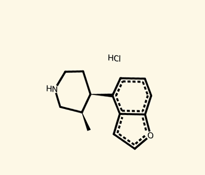 C[C@H]1CNCC[C@H]1c1cccc2occc12.Cl